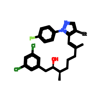 CCc1cnn(-c2ccc(F)cc2)c1/C=C(\C)CCC[C@@H](C)[C@@H](O)Cc1cc(Cl)cc(Cl)c1